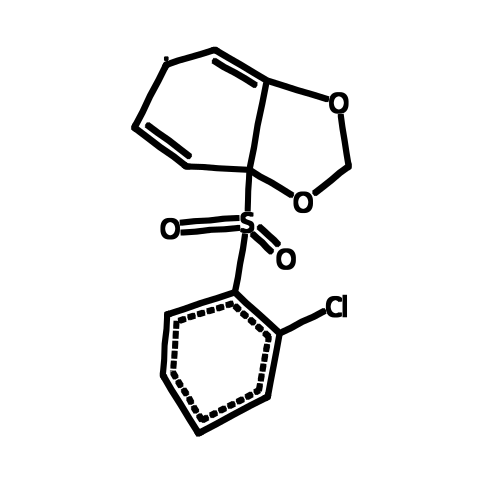 O=S(=O)(c1ccccc1Cl)C12C=C[CH]C=C1OCO2